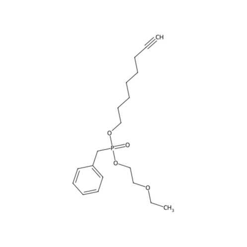 C#CCCCCCCOP(=O)(Cc1ccccc1)OCCOCC